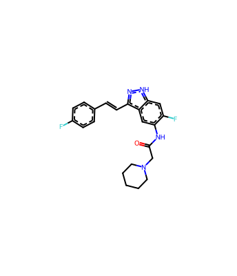 O=C(CN1CCCCC1)Nc1cc2c(C=Cc3ccc(F)cc3)n[nH]c2cc1F